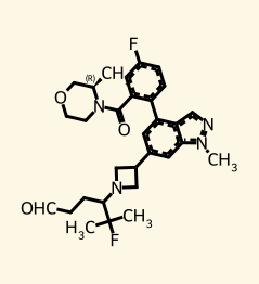 C[C@@H]1COCCN1C(=O)c1cc(F)ccc1-c1cc(C2CN(C(CCC=O)C(C)(C)F)C2)cc2c1cnn2C